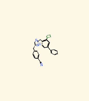 N#Cc1ccc(Cc2cnc(Cc3ccc(-c4ccccc4)cc3Cl)[nH]2)cc1